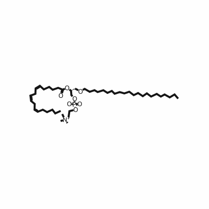 CCCCC/C=C\C/C=C\C/C=C\CCCCC(=O)O[C@H](COCCCCCCCCCCCCCCCCCCCCCC)COP(=O)([O-])OCC[N+](C)(C)C